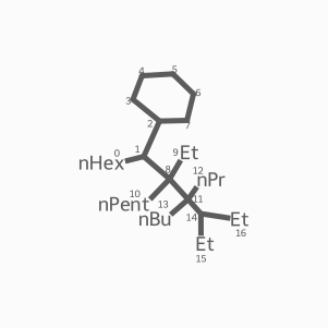 CCCCCC[C](C1CCCCC1)C(CC)(CCCCC)C(CCC)(CCCC)C(CC)CC